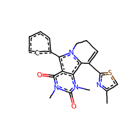 Cc1csc(C2=CCCn3c(-c4ccccc4)c4c(=O)n(C)c(=O)n(C)c4c32)n1